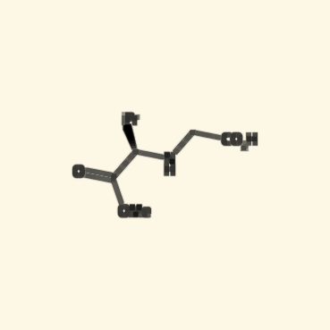 COC(=O)[C@H](NCC(=O)O)C(C)C